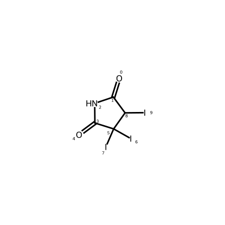 O=C1NC(=O)C(I)(I)C1I